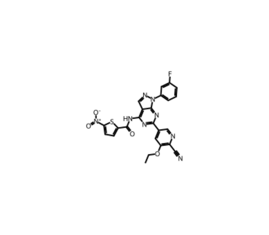 CCOc1cc(-c2nc(NC(=O)c3ccc([N+](=O)[O-])s3)c3cnn(-c4cccc(F)c4)c3n2)cnc1C#N